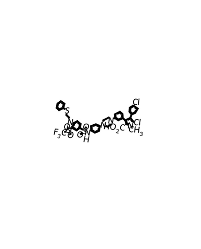 Cn1c(Cl)c(-c2ccc(Cl)cc2)c(-c2cccc(N3CCN(c4ccc(NS(=O)(=O)c5ccc(NCCSc6ccccc6)c(S(=O)(=O)C(F)(F)F)c5)cc4)CC3)c2)c1C(=O)O